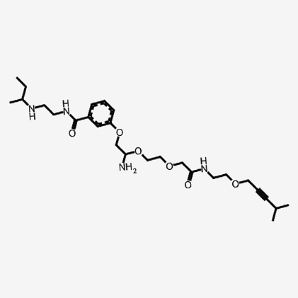 CCC(C)NCCNC(=O)c1cccc(OCC(N)OCCOCC(=O)NCCOCC#CC(C)C)c1